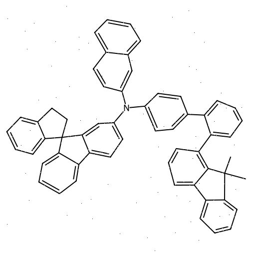 CC1(C)c2ccccc2-c2cccc(-c3ccccc3-c3ccc(N(c4ccc5c(c4)C4(CCc6ccccc64)c4ccccc4-5)c4ccc5ccccc5c4)cc3)c21